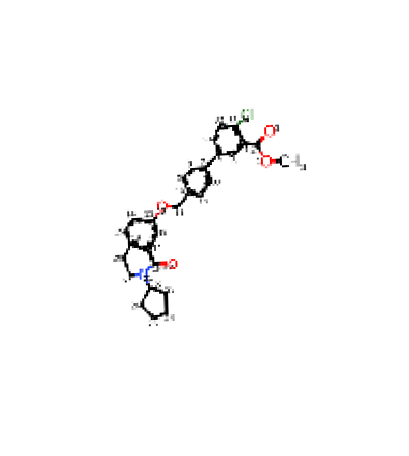 COC(=O)c1cc(-c2ccc(COc3ccc4c(c3)C(=O)N(C3CCCC3)CC4)cc2)ccc1Cl